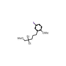 CCC(CC)(CCCc1cc(I)ccc1OC)COC